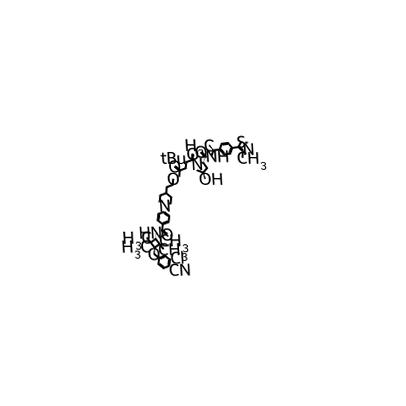 Cc1ncsc1-c1ccc([C@H](C)NC(=O)[C@@H]2C[C@@H](O)CN2C(=O)C(CC(=O)COCCC2CCN(c3ccc(C(=O)N[C@H]4C(C)(C)[C@H](Oc5ccc(C#N)c(Cl)c5)C4(C)C)cc3)CC2)C(C)(C)C)cc1